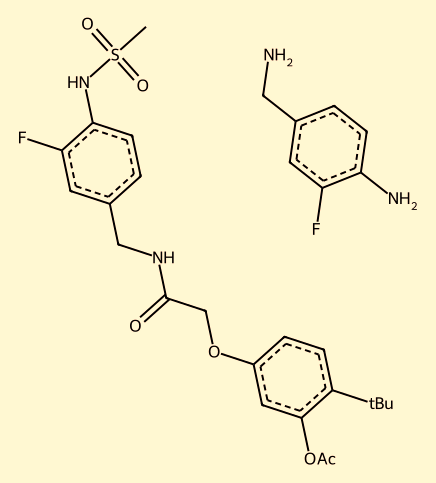 CC(=O)Oc1cc(OCC(=O)NCc2ccc(NS(C)(=O)=O)c(F)c2)ccc1C(C)(C)C.NCc1ccc(N)c(F)c1